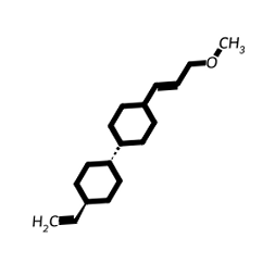 C=C[C@H]1CC[C@H](C2CCC(/C=C/COC)CC2)CC1